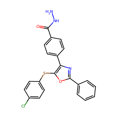 NNC(=O)c1ccc(-c2nc(-c3ccccc3)oc2Sc2ccc(Cl)cc2)cc1